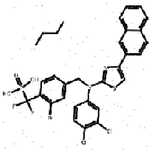 CCCC.O=P(O)(O)C(F)(F)c1ccc(CN(c2ccc(Cl)c(Cl)c2)c2nc(-c3ccc4ccccc4c3)cs2)cc1Br